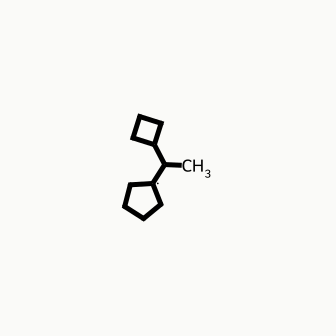 CC([C]1CCCC1)C1CCC1